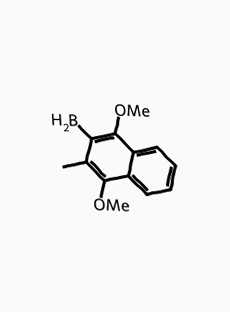 Bc1c(C)c(OC)c2ccccc2c1OC